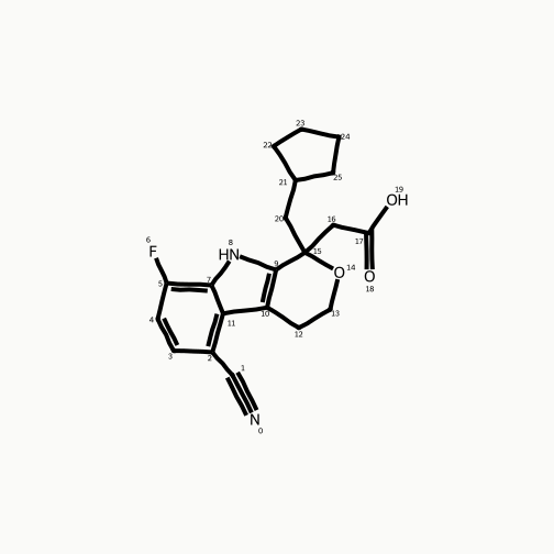 N#Cc1ccc(F)c2[nH]c3c(c12)CCOC3(CC(=O)O)CC1CCCC1